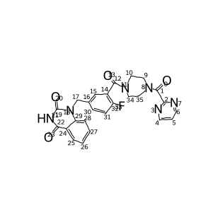 O=C(c1ncccn1)N1CCN(C(=O)c2cc(Cn3c(=O)[nH]c(=O)c4ccccc43)ccc2F)CC1